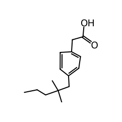 CCCC(C)(C)Cc1ccc(CC(=O)O)cc1